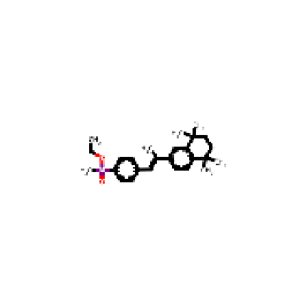 CCOP(C)(=O)c1ccc(C=C(C)c2ccc3c(c2)C(C)(C)CCC3(C)C)cc1